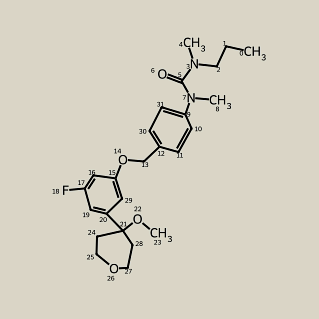 CCCN(C)C(=O)N(C)c1ccc(COc2cc(F)cc(C3(OC)CCOCC3)c2)cc1